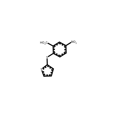 O=C(O)c1cc([N+](=O)[O-])ccc1Sc1cccs1